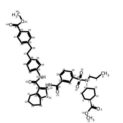 CCCN([C@H]1CC[C@H](C(=O)OC)CC1)S(=O)(=O)c1cccc(C(=O)Nc2sc3c(c2C(=O)Nc2ccc(CCc4ccc(C(=O)OC)cc4)cc2)CCCC3)c1